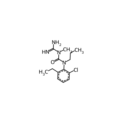 CCCN(C(=O)N(C)C(=N)N)c1c(Cl)cccc1CC